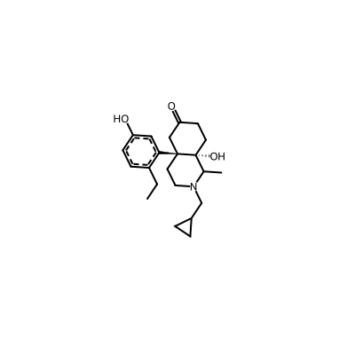 CCc1ccc(O)cc1[C@]12CCN(CC3CC3)C(C)[C@]1(O)CCC(=O)C2